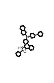 c1ccc(-c2ccc(N(c3ccc4ccccc4c3)c3ccc4c5c(c6ccccc6c4c3)OC(c3ccccc3)N5)cc2)cc1